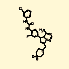 NC1=NC=NN2C(CN3CCS(=O)(=O)CC3)=CC(c3ccc(NC(=O)Nc4cccc(Cl)c4)c(F)c3)C12